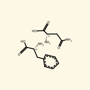 NC(=O)C[C@H](N)C(=O)O.N[C@H](Cc1ccccc1)C(=O)O